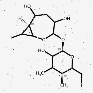 CC1C(O)[C@@H](OC2OC3C(I)[C@H]3C(O)CC2O)OC(CI)[C@H]1C